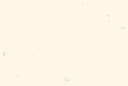 CC(C)C(=O)OCc1cc2cc(O)c([SiH2]O)cc2cc1[N+](=O)[O-]